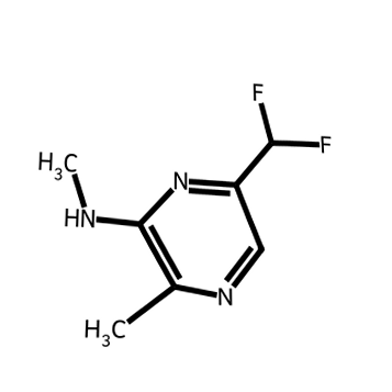 CNc1nc(C(F)F)cnc1C